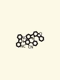 N#Cc1cc(-c2ccccc2-n2c3ccccc3c3ccc4oc5ccccc5c4c32)c(C#N)c(C#N)c1-n1c2ccccc2c2ccccc21